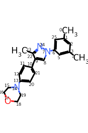 Cc1cc(C)cc(-n2cc(-c3ccc(N4CCOCC4)cc3)c(C)n2)c1